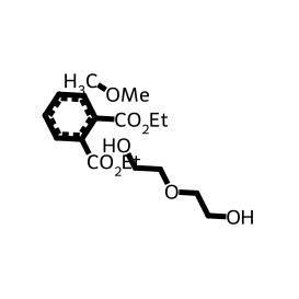 CCOC(=O)c1ccccc1C(=O)OCC.COC.OCCOCCO